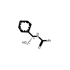 CCCC(=O)N[C@H](C(=O)O)c1ccccc1